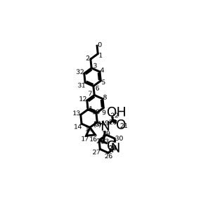 CCCc1ccc(-c2ccc3c(c2)CCC2(CC2)[C@@H]3N(C(=O)O)C2CN3CCC2CC3)cc1